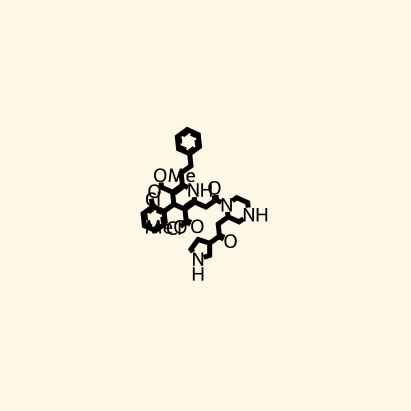 COC(=O)C1=C(CCc2ccccc2)NC(CC(=O)N2CCNCC2CC(=O)C2CCNC2)=C(C(=O)OC)C1c1c(Cl)cccc1Cl